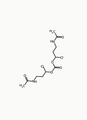 CC(=O)NCCC(Cl)OC(=O)OC(Cl)CCNC(C)=O